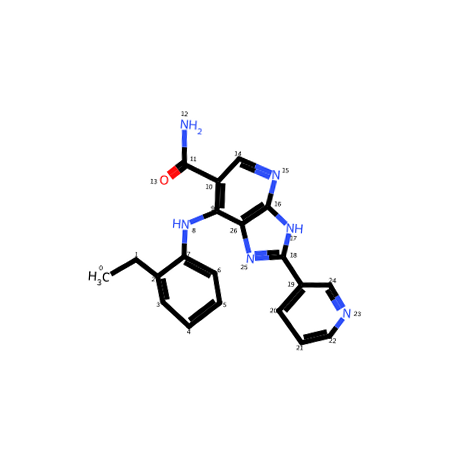 CCc1ccccc1Nc1c(C(N)=O)cnc2[nH]c(-c3cccnc3)nc12